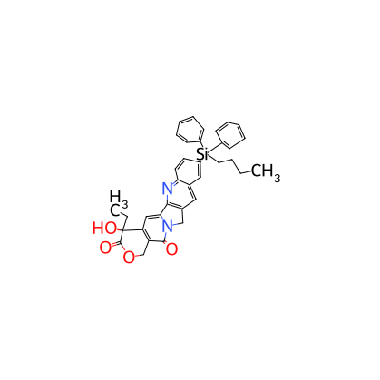 CCCC[Si](c1ccccc1)(c1ccccc1)c1ccc2nc3c(cc2c1)Cn1c-3cc2c(c1=O)COC(=O)[C@]2(O)CC